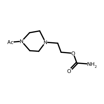 CC(=O)N1CCN(CCOC(N)=O)CC1